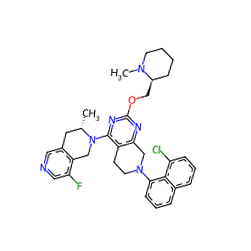 C[C@H]1Cc2cncc(F)c2CN1c1nc(OC[C@@H]2CCCCN2C)nc2c1CCN(c1cccc3cccc(Cl)c13)C2